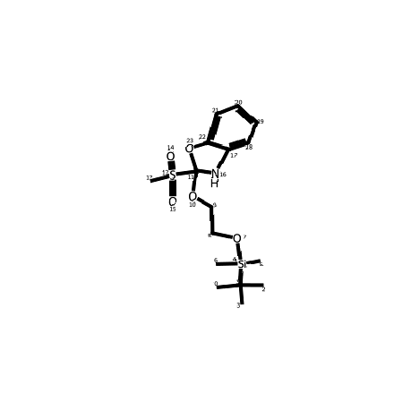 CC(C)(C)[Si](C)(C)OCCOC1(S(C)(=O)=O)Nc2ccccc2O1